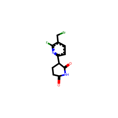 O=C1CCC(c2ccc(CBr)c(F)n2)C(=O)N1